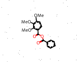 COc1ccc(C(=O)OC(=O)c2ccccc2)c(OC)c1OC